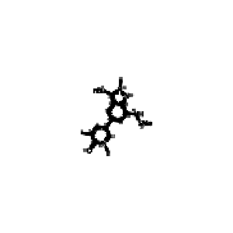 CCCCc1c2cc(-c3cc(C)c(=O)n(C)c3)cc(NSC)c2nn1C